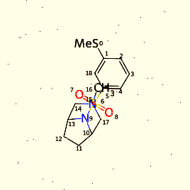 CSc1cccc(S(=O)(=O)N2C3CCC2CN(C)C3)c1